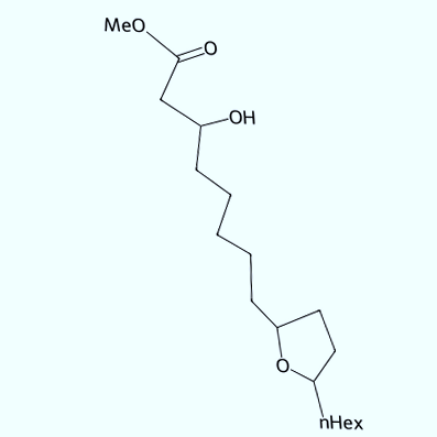 CCCCCCC1CCC(CCCCCC(O)CC(=O)OC)O1